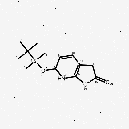 CC(C)(C)[Si](C)(C)OC1C=CC2=C(N1)OC(=O)C2